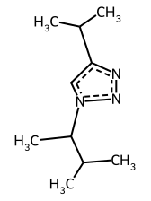 CC(C)c1cn(C(C)C(C)C)nn1